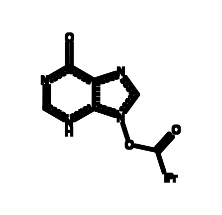 CC(C)C(=O)On1cnc2c(=O)nc[nH]c21